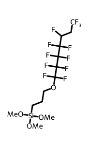 CO[Si](CCCOC(F)(F)C(F)(F)C(F)(F)C(F)(F)C(F)CC(F)(F)F)(OC)OC